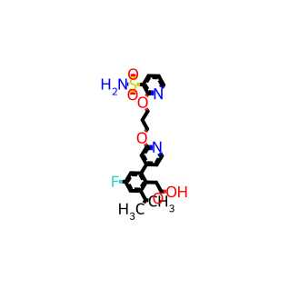 CC(C)c1cc(F)cc(-c2ccnc(OCCCOc3ncccc3S(N)(=O)=O)c2)c1CC(=O)O